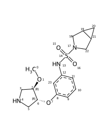 CO[C@@H]1CNC[C@H]1Oc1cccc(NS(=O)(=O)N2CC3CC3C2)c1